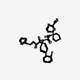 N#Cc1nccc(C2(NC(=O)NC3(C(=O)NCCn4nccn4)C=CC(c4ccccc4F)=CC3)CCCCC2)n1